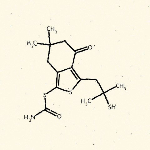 CC(C)(S)Cc1sc(SC(N)=O)c2c1C(=O)CC(C)(C)C2